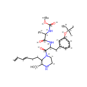 C=CC=CCCC1C(C(=O)O)NCCN1C(=O)C(Cc1cccc(O[Si](C)(C)C(C)(C)C)c1)NC(=O)C(NC(=O)OC(C)(C)C)C(C)C